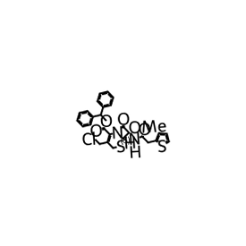 COC1(NC(=O)Cc2cccs2)C(=O)N2C(C(=O)OC(c3ccccc3)c3ccccc3)=C(CCl)CS[C@H]21